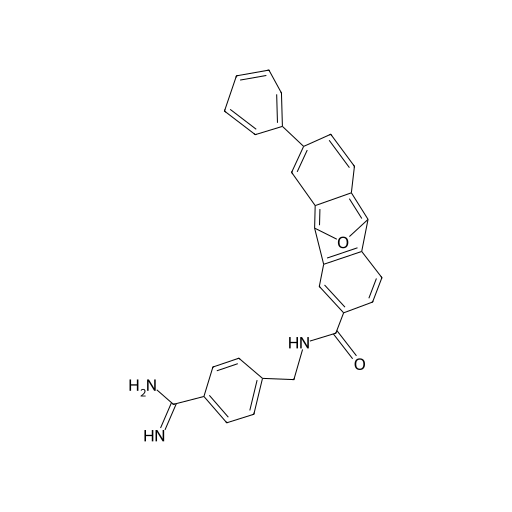 N=C(N)c1ccc(CNC(=O)c2ccc3c(c2)c2oc3c3ccc(-c4ccccc4)cc32)cc1